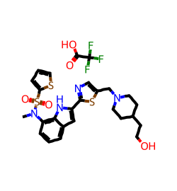 CN(c1cccc2cc(-c3ncc(CN4CCC(CCO)CC4)s3)[nH]c12)S(=O)(=O)c1cccs1.O=C(O)C(F)(F)F